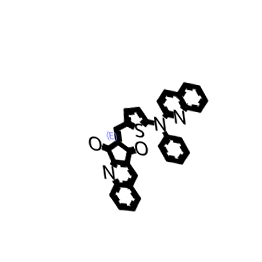 O=C1/C(=C\c2ccc(N(c3ccccc3)c3ccc4ccccc4n3)s2)C(=O)c2nc3ccccc3cc21